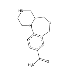 NC(=O)c1ccc2c(c1)COCC1CNCCN21